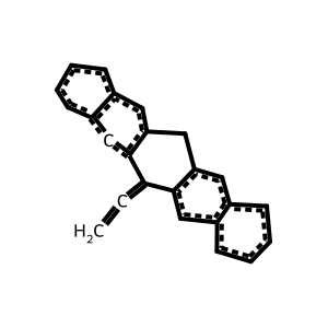 C=C=C1c2cc3ccccc3cc2Cc2cc3ccccc3cc21